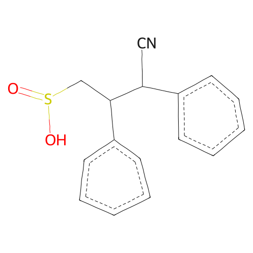 N#CC(c1ccccc1)C(CS(=O)O)c1ccccc1